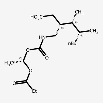 CCCC[C@@H](C)[C@@H](C)[C@H](CNC(=O)O[C@@H](C)OC(=O)CC)CC(=O)O